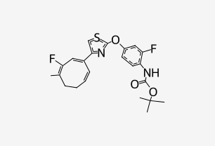 C/C1=C(F)/C=C(c2csc(Oc3ccc(NC(=O)OC(C)(C)C)c(F)c3)n2)\C=C/CC1